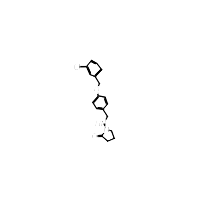 O=C1CCCN1NCc1ccc(OCc2cccc(Cl)c2)cc1